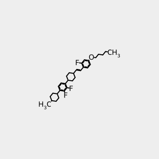 CCCCCOc1ccc(/C=C/C2CCC(c3ccc(C4CCC(C)CC4)c(F)c3F)CC2)c(F)c1